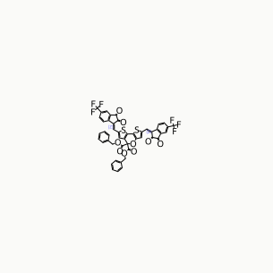 O=C1C(=O)c2cc(C(F)(F)F)ccc2/C1=C/c1cc2c(s1)-c1sc(/C=C3\C(=O)C(=O)c4cc(C(F)(F)F)ccc43)cc1C(C(=O)OCc1ccccc1)(C(=O)OCc1ccccc1)O2